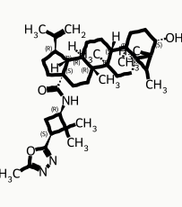 C=C(C)[C@@H]1CC[C@]2(C(=O)N[C@@H]3C[C@H](c4nnc(C)o4)C3(C)C)CC[C@]3(C)[C@H](CC[C@H]4[C@@]3(C)CC[C@@]35C(C)C3(C)[C@@H](O)CC[C@]45C)[C@@H]12